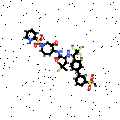 CC(C)(F)C[C@H](N[C@@H](c1ccc(-c2cccc(S(C)(=O)=O)c2)cc1)C(F)(F)F)C(=O)NC1CCCN(S(=O)(=O)c2ccccn2)CC1=O